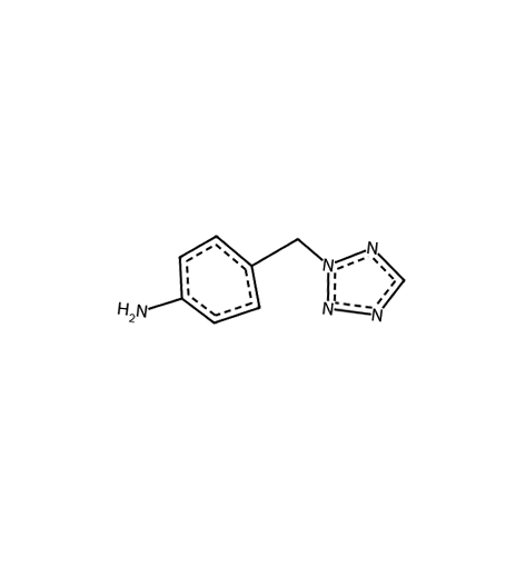 Nc1ccc(Cn2ncnn2)cc1